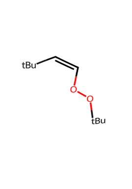 CC(C)(C)/C=C\OOC(C)(C)C